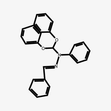 C(=NN(c1ccccc1)C(Oc1ccccc1)Oc1ccccc1)c1ccccc1